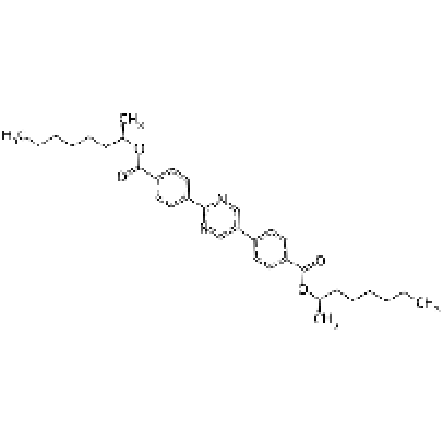 CCCCCC[C@@H](C)OC(=O)c1ccc(-c2cnc(-c3ccc(C(=O)O[C@H](C)CCCCCC)cc3)nc2)cc1